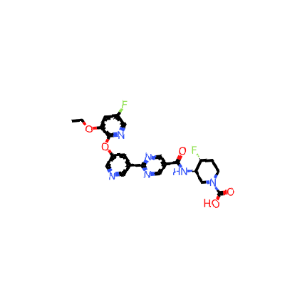 CCOc1cc(F)cnc1Oc1cncc(-c2ncc(C(=O)N[C@@H]3CN(C(=O)O)CC[C@H]3F)cn2)c1